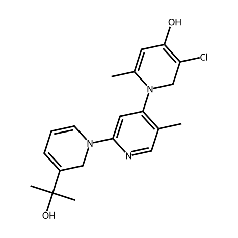 CC1=CC(O)=C(Cl)CN1c1cc(N2C=CC=C(C(C)(C)O)C2)ncc1C